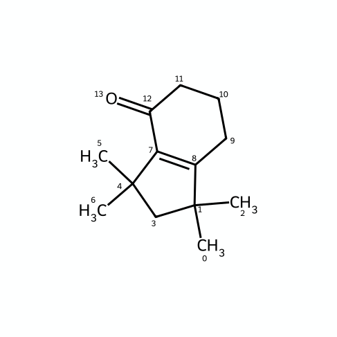 CC1(C)CC(C)(C)C2=C1CCCC2=O